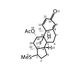 CSC1CC[C@H]2[C@@H]3CCC4=CC(=O)C=C[C@]4(C)C3(F)[C@@H](OC(C)=O)C[C@]12C